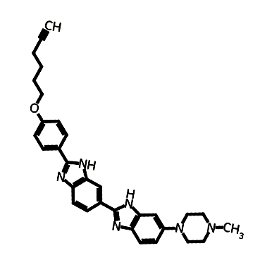 C#CCCCCOc1ccc(-c2nc3ccc(-c4nc5ccc(N6CCN(C)CC6)cc5[nH]4)cc3[nH]2)cc1